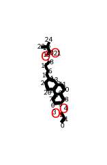 C=CC(=O)Oc1ccc2c(ccc3cc(CCCCOC(=O)C(=C)C)ccc32)c1